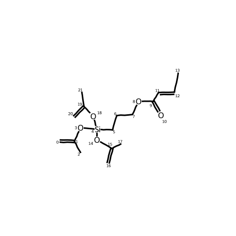 C=C(C)O[Si](CCCOC(=O)C=CC)(OC(=C)C)OC(=C)C